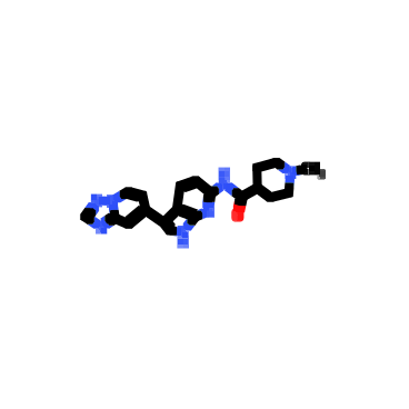 CN1CCC(C(=O)Nc2ccc3c(-c4ccn5ncnc5c4)c[nH]c3n2)CC1